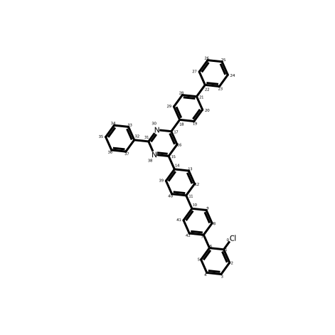 Clc1ccccc1-c1ccc(-c2ccc(-c3cc(-c4ccc(-c5ccccc5)cc4)nc(-c4ccccc4)n3)cc2)cc1